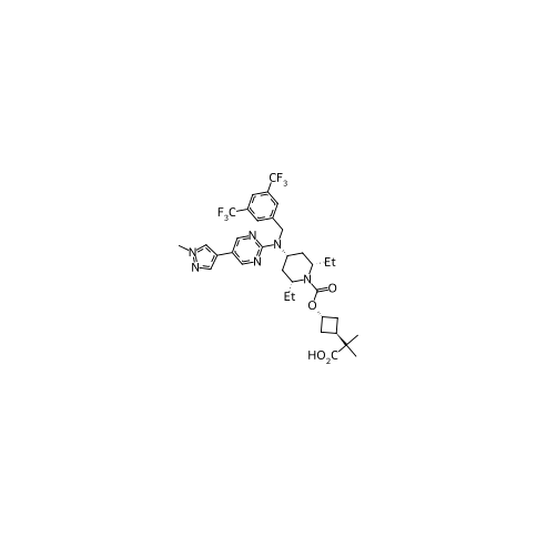 CC[C@@H]1C[C@H](N(Cc2cc(C(F)(F)F)cc(C(F)(F)F)c2)c2ncc(-c3cnn(C)c3)cn2)C[C@H](CC)N1C(=O)O[C@H]1C[C@H](C(C)(C)C(=O)O)C1